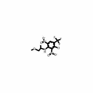 COCC(C)Nc1c([N+](=O)[O-])cc(C(F)(F)F)c(Cl)c1[N+](=O)[O-]